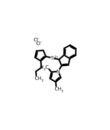 CCCC1=[C]([Ti+2][CH]2C(n3cc(C)cc3C)=Cc3ccccc32)CC=C1.[Cl-].[Cl-]